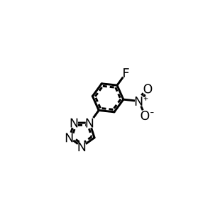 O=[N+]([O-])c1cc(-n2cnnn2)ccc1F